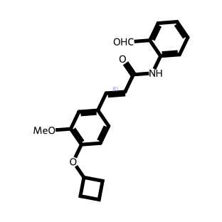 COc1cc(/C=C/C(=O)Nc2ccccc2C=O)ccc1OC1CCC1